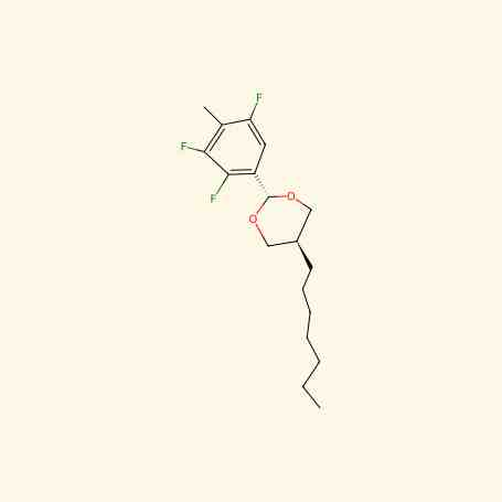 CCCCCCC[C@H]1CO[C@H](c2cc(F)c(C)c(F)c2F)OC1